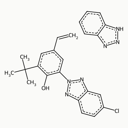 C=Cc1cc(-n2nc3ccc(Cl)cc3n2)c(O)c(C(C)(C)C)c1.c1ccc2[nH]nnc2c1